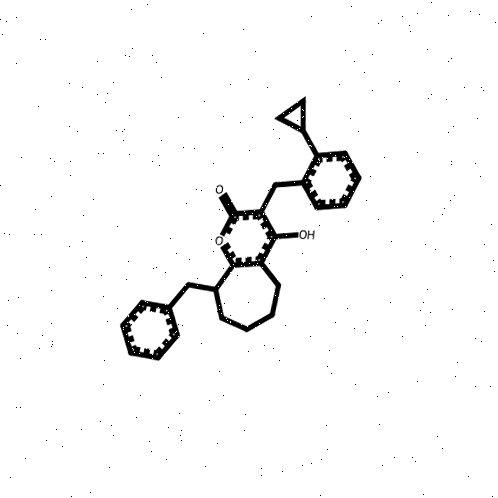 O=c1oc2c(c(O)c1Cc1ccccc1C1CC1)CCCCC2Cc1ccccc1